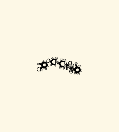 Cc1cc(OC2CCN(C3CCN(C(=O)NS(=O)(=O)c4ccccc4C)CC3)CC2)ccc1Cl